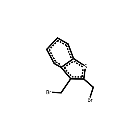 BrCc1sc2ccccc2c1CBr